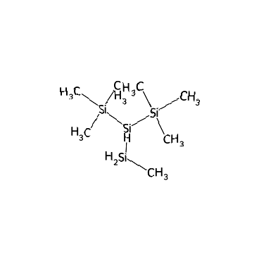 C[SiH2][SiH]([Si](C)(C)C)[Si](C)(C)C